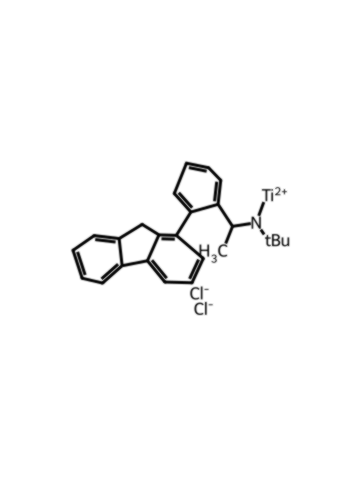 CC(c1ccccc1-c1cccc2c1Cc1ccccc1-2)[N]([Ti+2])C(C)(C)C.[Cl-].[Cl-]